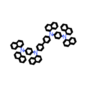 c1ccc2c(N(c3ccc(-c4ccc(N(c5ccc(N(c6cccc7ccccc67)c6cccc7ccccc67)cc5)c5cccc6ccccc56)cc4)cc3)c3ccc(N(c4cccc5ccccc45)c4cccc5ccccc45)cc3)cccc2c1